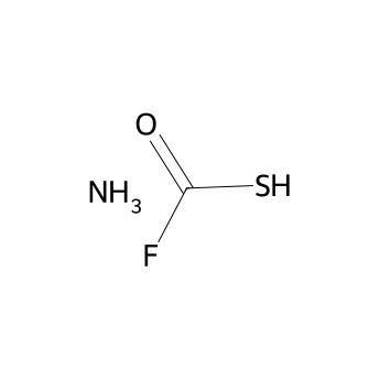 N.O=C(F)S